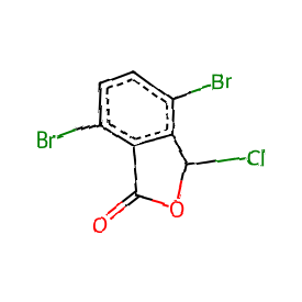 O=C1OC(Cl)c2c(Br)ccc(Br)c21